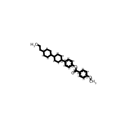 CCCC1CCC(C2CCC(c3ccc(OC(=O)c4ccc(OC)cc4)cc3)CC2)CC1